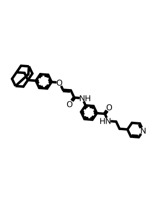 O=C(/C=C/Oc1ccc(C23CC4CC(CC(C4)C2)C3)cc1)Nc1cccc(C(=O)NCCC2C=CN=CC2)c1